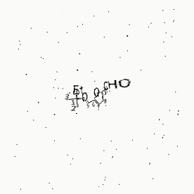 CCC(C)(C)OCc1ccc(C=O)o1